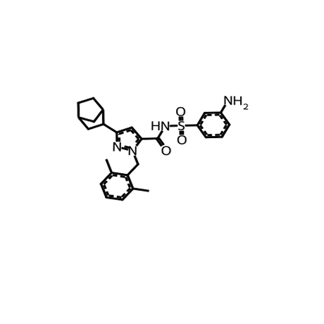 Cc1cccc(C)c1Cn1nc(C2CC3CCC2C3)cc1C(=O)NS(=O)(=O)c1cccc(N)c1